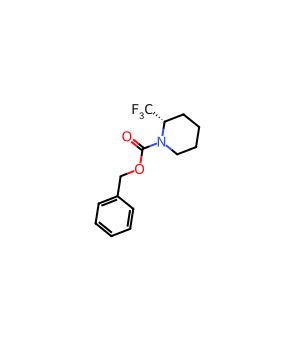 O=C(OCc1ccccc1)N1CCCC[C@H]1C(F)(F)F